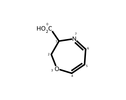 O=C(O)C1COC=CC=N1